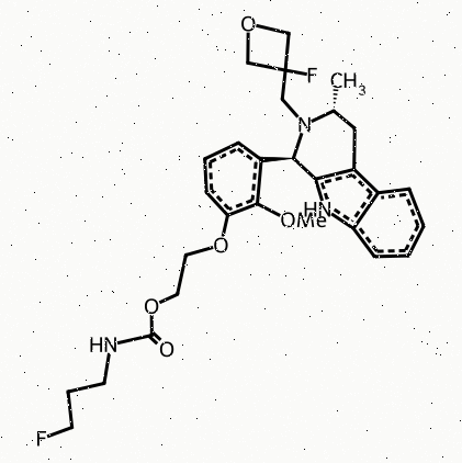 COc1c(OCCOC(=O)NCCCF)cccc1[C@@H]1c2[nH]c3ccccc3c2C[C@@H](C)N1CC1(F)COC1